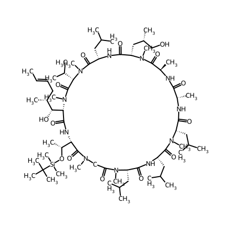 C/C=C/C[C@@H](C)[C@@H](O)[C@H]1C(=O)N[C@@H]([C@@H](C)O[Si](C)(C)C(C)(C)C)C(=O)N(C)CC(=O)N(C)[C@@H](CC(C)C)C(=O)N[C@@H](CC(C)C)C(=O)N(C)[C@@H](CC(C)C)C(=O)N[C@@H](C)C(=O)N[C@H](C)C(=O)N(C)[C@@H](C[C@H](C)CO)C(=O)N[C@@H](CC(C)C)C(=O)N(C)[C@@H](C(C)C)C(=O)N1C